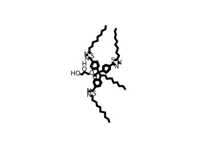 CCCCCCCCCc1nnc(-c2ccc(C(CCCCCCCC)C(C(=O)OCC(O)CO)(c3ccc(-c4nnc(CCCCCCCCC)s4)cc3)c3ccc(-c4nnc(CCCCCCCCC)s4)cc3)cc2)s1